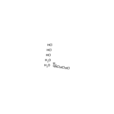 Cl.Cl.Cl.Cl.Cl.Cl.O.O.O